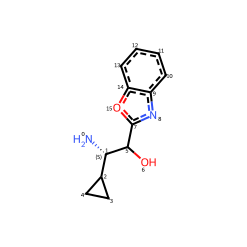 N[C@@H](C1CC1)C(O)c1nc2ccccc2o1